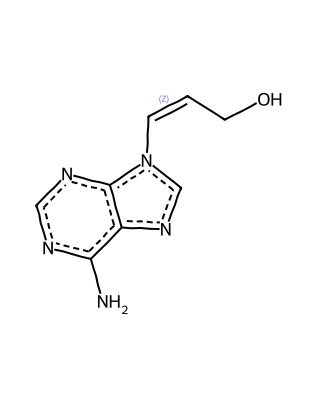 Nc1ncnc2c1ncn2/C=C\CO